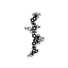 CCOc1cc(N=Nc2ccc(C=Cc3ccc(-n4n5c6cc(S(=O)(=O)O)c7ccccc7c6n45)cc3S(=O)(=O)O)c(S(=O)(=O)O)c2)c(C(=O)O)cc1-n1n2c3ccc4cc(S(=O)(=O)O)ccc4c3n12